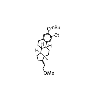 CCCCOc1cc2c(cc1CC)[C@H]1CC[C@]3(C)/C(=C/COC)CC[C@H]3[C@@H]1CC2